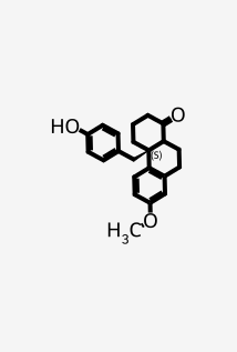 COc1ccc2c(c1)CCC1C(=O)CCC[C@@]21Cc1ccc(O)cc1